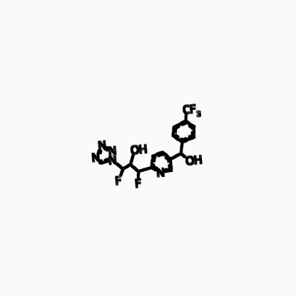 OC(c1ccc(C(F)(F)F)cc1)c1ccc(C(F)C(O)C(F)n2cnnn2)nc1